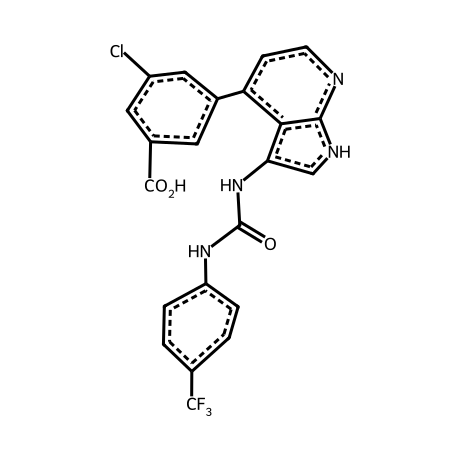 O=C(Nc1ccc(C(F)(F)F)cc1)Nc1c[nH]c2nccc(-c3cc(Cl)cc(C(=O)O)c3)c12